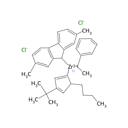 CCCCC1C=C(C(C)(C)C)C=[C]1/[Zr+2](=[C](\C)c1ccccc1)[CH]1c2cc(C)ccc2-c2ccc(C)cc21.[Cl-].[Cl-]